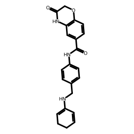 O=C1COc2ccc(C(=O)Nc3ccc(CNC4=CCCC=C4)cc3)cc2N1